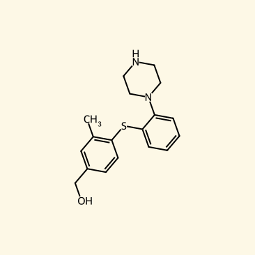 Cc1cc(CO)ccc1Sc1ccccc1N1CCNCC1